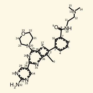 Cc1c(-c2cccc(C(=O)NCCN(C)C)c2)sc2c(N3CCOCC3)nc(-c3cnc(N)nc3)nc12